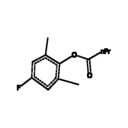 CCCC(=O)Oc1c(C)cc(F)cc1C